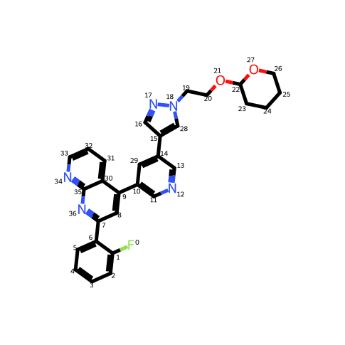 Fc1ccccc1-c1cc(-c2cncc(-c3cnn(CCOC4CCCCO4)c3)c2)c2cccnc2n1